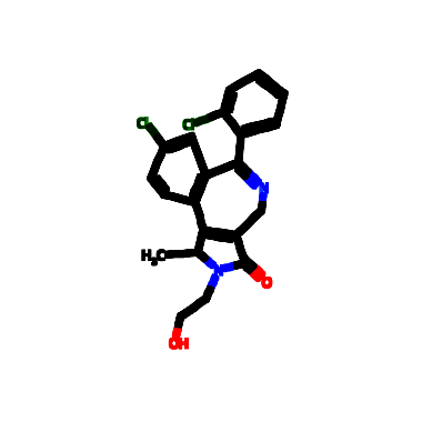 CC1C2=C(CN=C(c3ccccc3Cl)c3cc(Cl)ccc32)C(=O)N1CCO